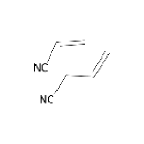 C=CC#N.C=CCC#N